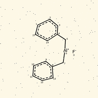 [F-].c1ccc([CH2][Al+][CH2]c2ccccc2)cc1